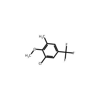 COc1c(C)cc(C(F)(F)F)cc1Cl